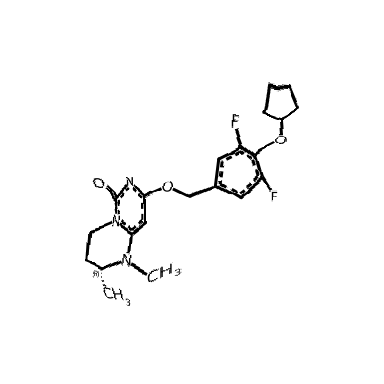 C[C@@H]1CCn2c(cc(OCc3cc(F)c(OC4CCCC4)c(F)c3)nc2=O)N1C